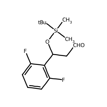 CC(C)(C)[Si](C)(C)OC(CC=O)c1c(F)cccc1F